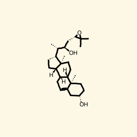 C[C@H]([C@H](O)C[C@@H]1OC1(C)C)[C@H]1CC[C@H]2[C@@H]3CC=C4C[C@@H](O)CC[C@]4(C)[C@H]3CC[C@]12C